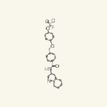 O=C(Nc1cnc2ccccc2c1)c1ccc(COc2ccc(OS(=O)(=O)F)cc2)cc1